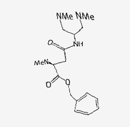 CNCC(CNC)NC(=O)C[C@H](NC)C(=O)OCc1ccccc1